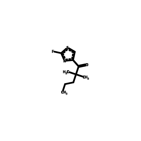 CCCC(C)(C)C(=O)c1csc(F)n1